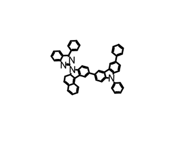 C1=c2ccccc2=C2c3cc(-c4ccc5c(c4)c4cc(-c6ccccc6)ccc4n5-c4ccccc4)ccc3N(c3nc(-c4ccccc4)c4ccccc4n3)C2C1